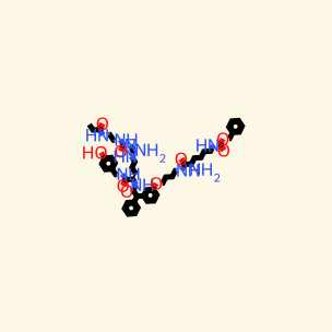 CCC(=O)NCCNC(=O)/N=C(/N)NCCC[C@@H](NC(=O)C(c1ccccc1)c1cccc(OCCCCNC(=O)[C@@H](N)CCCCNC(=O)OCc2ccccc2)c1)C(=O)NCc1ccc(O)cc1